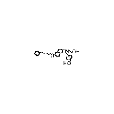 OCCN(Cc1ccc2cc(OCCCCCc3ccccc3)ccc2c1)Cc1ccc(CO)o1